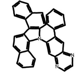 c1ccc(-c2cc3nccnc3cc2-n2c3ccc4ccccc4c3c3ccc4ccccc4c32)cc1